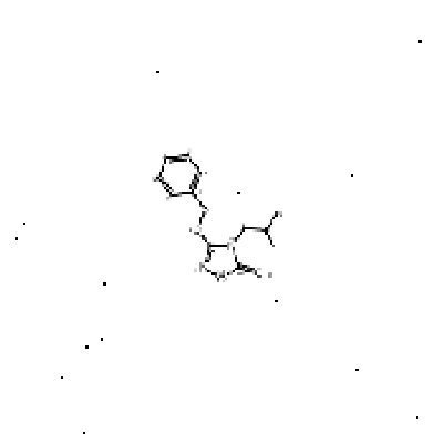 CC(C)Cn1c(OCc2ccccc2)noc1=O